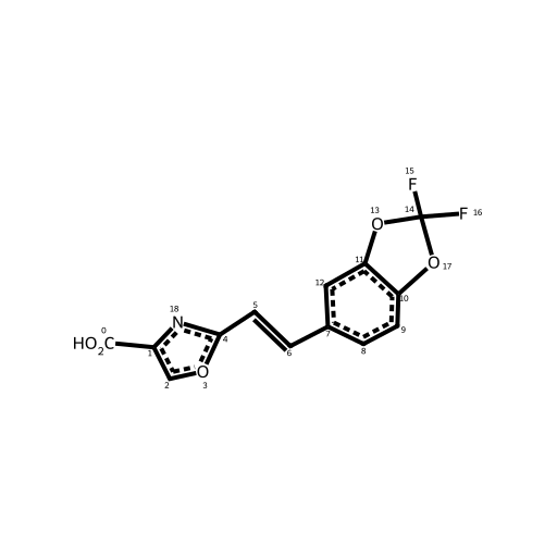 O=C(O)c1coc(C=Cc2ccc3c(c2)OC(F)(F)O3)n1